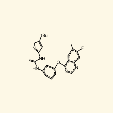 C=C(NC1=NCC(C(C)(C)C)=C1)Nc1cccc(Oc2ncnc3cc(F)c(C)cc23)c1